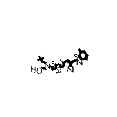 CC1CC=Cc2nc(/C(C#N)=C/c3cc4c(s3)-c3sc(N(CCO)CCC(C)(C)C)cc3[Si]4(C)C)sc21